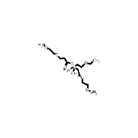 CCOCCP(C)(C)(CCOCCOC)OC(=O)CCOCCOC